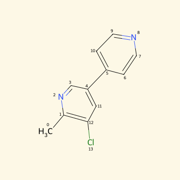 Cc1ncc(-c2ccncc2)cc1Cl